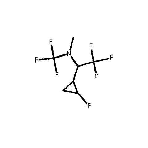 CN(C(C1CC1F)C(F)(F)F)C(F)(F)F